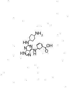 NC1CCC(Nc2nc(Nc3cccc(C(=O)O)c3)c3nc[nH]c3n2)CC1